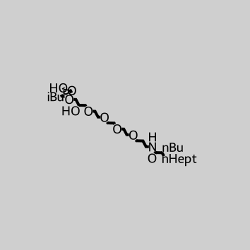 CCCCCCCC(CCCC)C(=O)NCCCOCCOCCOCCOCC(O)COP(=O)(O)C(C)CC